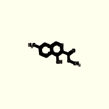 COC(=O)c1ncc2cc(C)ccc2c1O